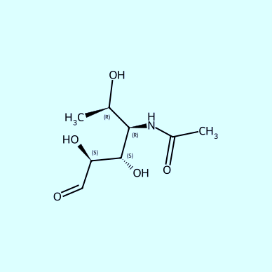 CC(=O)N[C@@H]([C@H](O)[C@H](O)C=O)[C@@H](C)O